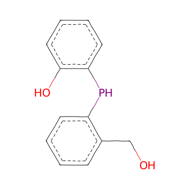 OCc1ccccc1Pc1ccccc1O